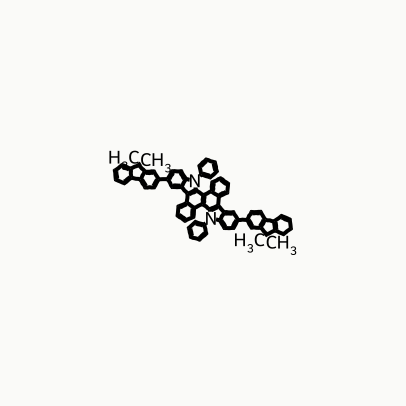 CC1(C)C2=C(C=CCC2)c2ccc(-c3ccc4c(c3)c3c5ccccc5c5c(c6ccccc6c6c7cc(-c8ccc9c(c8)C(C)(C)c8ccccc8-9)ccc7n(-c7ccccc7)c65)c3n4-c3ccccc3)cc21